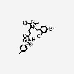 Cc1ccc(S(=O)(=O)NC(=O)/C=C/c2c(Cl)nc(C)n2Cc2ccc(Br)cc2Cl)cc1